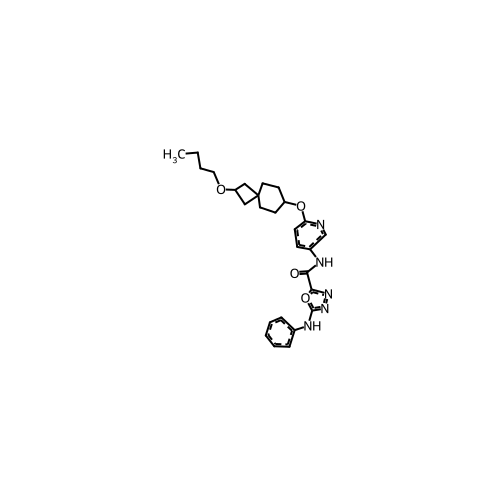 CCCCOC1CC2(CCC(Oc3ccc(NC(=O)c4nnc(Nc5ccccc5)o4)cn3)CC2)C1